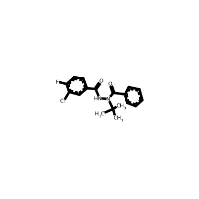 CC(C)(C)N(NC(=O)c1ccc(F)c(Cl)c1)C(=O)c1ccccc1